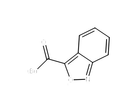 CC(C)(C)C(=O)c1onc2ccccc12